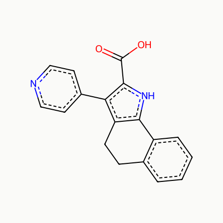 O=C(O)c1[nH]c2c(c1-c1ccncc1)CCc1ccccc1-2